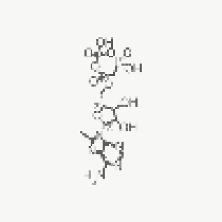 Cc1nc2c(N)ncnc2n1[C@@H]1O[C@H](COP2(=O)CP(=O)(O)OP(=O)(O)O2)C(O)C1O